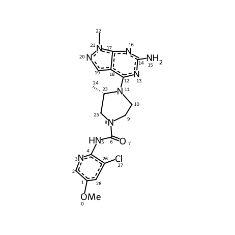 COc1cnc(NC(=O)N2CCN(c3nc(N)nc4c3cnn4C)[C@@H](C)C2)c(Cl)c1